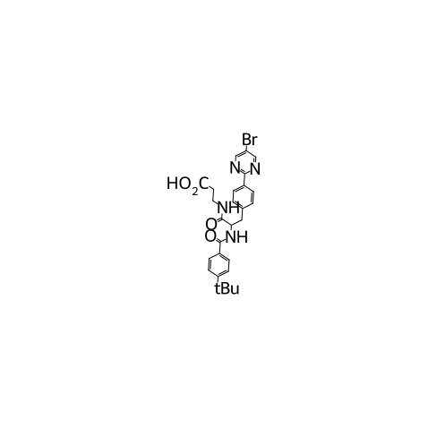 CC(C)(C)c1ccc(C(=O)NC(Cc2ccc(-c3ncc(Br)cn3)cc2)C(=O)NCCC(=O)O)cc1